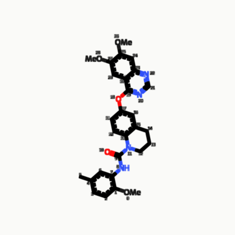 COc1ccc(C)cc1NC(=O)N1CCCc2cc(Oc3ncnc4cc(OC)c(OC)cc34)ccc21